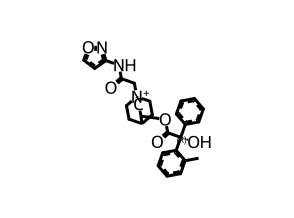 Cc1ccccc1[C@@](O)(C(=O)OC1C[N+]2(CC(=O)Nc3ccon3)CCC1CC2)c1ccccc1